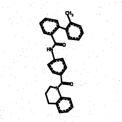 Cc1ccccc1-c1ccccc1C(=O)Nc1ccc(C(=O)N2CCCc3ccccc32)cc1